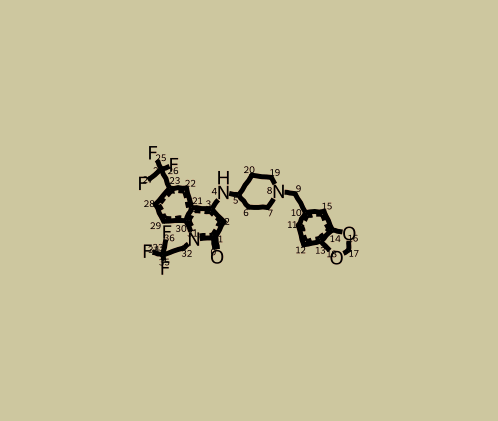 O=c1cc(NC2CCN(Cc3ccc4c(c3)OCO4)CC2)c2cc(C(F)(F)F)ccc2n1CC(F)(F)F